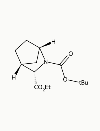 CCOC(=O)[C@@H]1[C@@H]2CC[C@@H](C2)N1C(=O)OC(C)(C)C